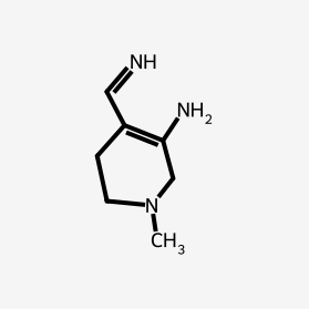 CN1CCC(C=N)=C(N)C1